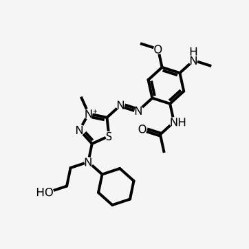 CNc1cc(NC(C)=O)c(N=Nc2sc(N(CCO)C3CCCCC3)n[n+]2C)cc1OC